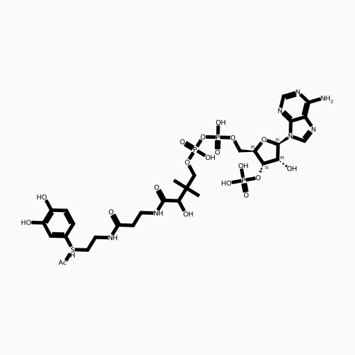 CC(=O)[SH](CCNC(=O)CCNC(=O)C(O)C(C)(C)COP(=O)(O)OP(=O)(O)OC[C@H]1O[C@@H](n2cnc3c(N)ncnc32)[C@H](O)[C@@H]1OP(=O)(O)O)c1ccc(O)c(O)c1